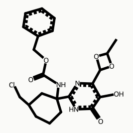 CC1OC(c2nc(C3(NC(=O)OCc4ccccc4)CCCC(CCl)C3)[nH]c(=O)c2O)O1